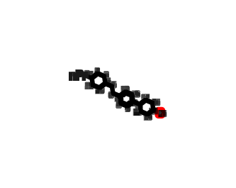 CCCC1CCC(CCc2ccc(C3CCC(=O)CC3)cc2)CC1